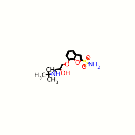 CC(C)(C)NCC(O)COc1cccc2cc(S(N)(=O)=O)oc12